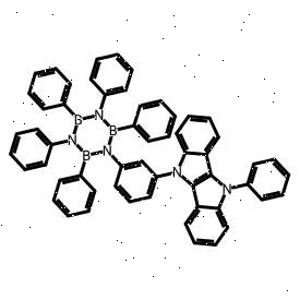 c1ccc(B2N(c3ccccc3)B(c3ccccc3)N(c3cccc(-n4c5ccccc5c5c4c4ccccc4n5-c4ccccc4)c3)B(c3ccccc3)N2c2ccccc2)cc1